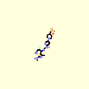 C=N/C=C(F)\C(=N/CNc1ccc(N2CCC(CS(C)(=O)=O)CC2)cn1)c1sc(NC)nc1C